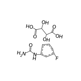 NC(=O)Nc1cccc(F)c1.O=C(O)C(O)C(O)C(=O)O